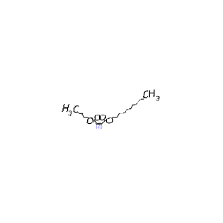 CCCCCCCCCCCOC(=O)/C=C\C(=O)OCCCCC